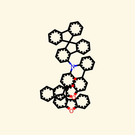 c1ccc(N(c2ccc(-c3cccc4oc5ccccc5c34)cc2)c2cccc3c2-c2ccccc2C32c3ccccc3-c3ccccc32)c(-c2ccc3oc4cc5ccccc5cc4c3c2)c1